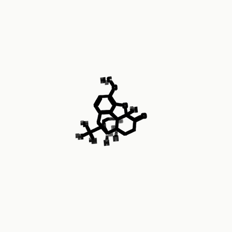 [2H]C([2H])([2H])N1CC[C@]23c4c5ccc(OC)c4OC2([2H])C(=O)CC[C@H]3[C@H]1C5